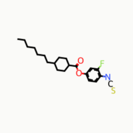 CCCCCCCC1CCC(C(=O)Oc2ccc(N=C=S)c(F)c2)CC1